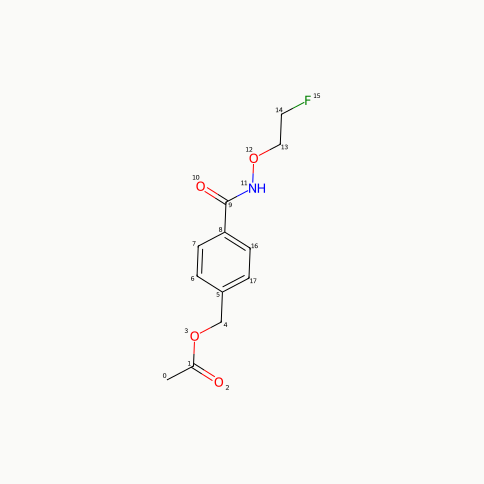 CC(=O)OCc1ccc(C(=O)NOCCF)cc1